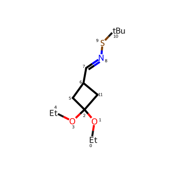 CCOC1(OCC)CC(/C=N/SC(C)(C)C)C1